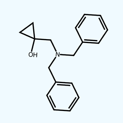 OC1(CN(Cc2ccccc2)Cc2ccccc2)CC1